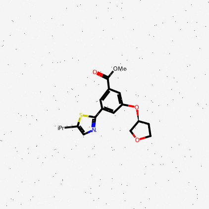 COC(=O)c1cc(O[C@H]2CCOC2)cc(-c2ncc(C(C)C)s2)c1